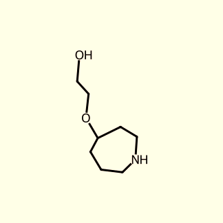 OCCOC1CCCNCC1